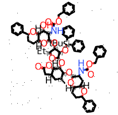 CC[C@H]1O[C@@H](O[C@@H]2[C@H]3OC(=O)C[C@@H]3C[C@H](C)[C@H]2O[C@H]2O[C@@H]3CCC(c4ccccc4)O[C@H]3CC2NC(=O)OCc2ccccc2)[C@H](O[Si](c2ccccc2)(c2ccccc2)C(C)(C)C)[C@@H]1O[C@H]1O[C@H]2CCC(c3ccccc3)O[C@H]2[C@H](O)[C@H]1NC(=O)OCc1ccccc1